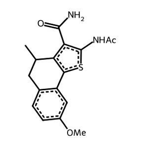 COc1ccc2c(c1)-c1sc(NC(C)=O)c(C(N)=O)c1C(C)C2